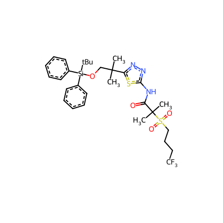 CC(C)(CO[Si](c1ccccc1)(c1ccccc1)C(C)(C)C)c1nnc(NC(=O)C(C)(C)S(=O)(=O)CCCC(F)(F)F)s1